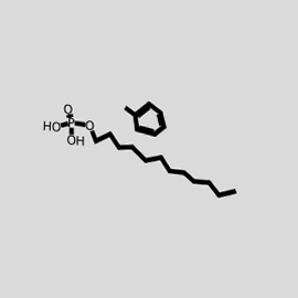 CCCCCCCCCCCCOP(=O)(O)O.Cc1ccccc1